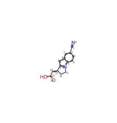 N#Cc1ccc2c(c1)cc1n2CC/C1=C\C(=O)O